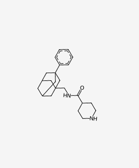 O=C(NCC12CC3CC(C1)CC(c1ccccc1)(C3)C2)C1CCNCC1